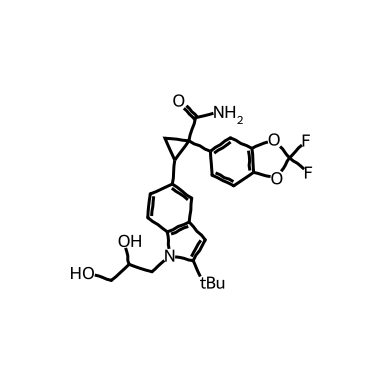 CC(C)(C)c1cc2cc(C3CC3(C(N)=O)c3ccc4c(c3)OC(F)(F)O4)ccc2n1CC(O)CO